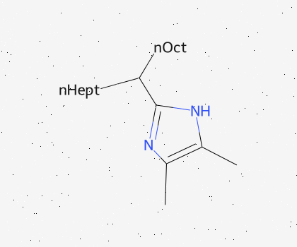 CCCCCCCCC(CCCCCCC)c1nc(C)c(C)[nH]1